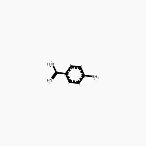 Bc1ccc(C(=N)N)cc1